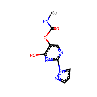 CC(C)(C)NC(=O)Oc1cnc(-n2cccn2)nc1O